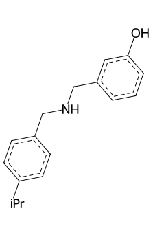 CC(C)c1ccc(CNCc2cccc(O)c2)cc1